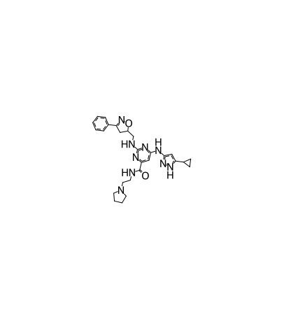 O=C(NCCN1CCCC1)c1cc(Nc2cc(C3CC3)[nH]n2)nc(NCC2CC(c3ccccc3)=NO2)n1